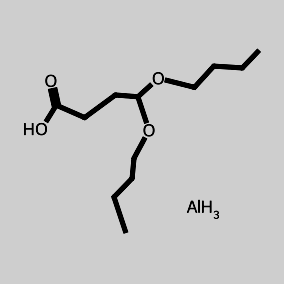 CCCCOC(CCC(=O)O)OCCCC.[AlH3]